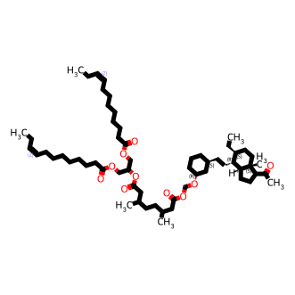 CC/C=C\CCCCCCCC(=O)OCC(COC(=O)CCCCCCC/C=C\CC)OC(=O)CC(C)CCC(C)CC(=O)OCO[C@@H]1CCC[C@@H](CC[C@@H]2[C@@H](CC)CC[C@]3(C)C(C(C)=O)CC[C@@H]23)C1